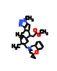 COC(=O)CC(c1ccc(C)c(CN2Cc3ccccc3OC3(CC3)C2)c1)c1ccc2c(nnn2C)c1C